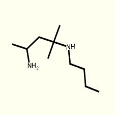 CCCCNC(C)(C)CC(C)N